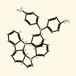 Cc1ccc(N(c2ccc(C)cc2)c2cccc(-n3c4ccccc4c4ccc5ccn(-c6ccccc6)c5c43)c2)cc1